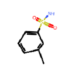 Cc1cccc(S([NH])(=O)=O)c1